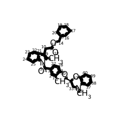 Cc1cc(C(=O)n2c(C)c(CC(=O)OCc3ccccc3)c3ccccc32)ccc1OC[C@@H]1CN(C)c2ccccc2O1